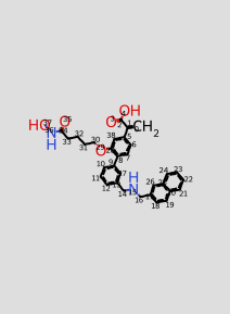 C=C(C(=O)O)c1ccc(-c2cccc(CNCc3ccc4ccccc4c3)c2)c(OCCCCC(=O)NO)c1